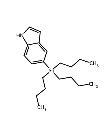 CCC[CH2][Sn]([CH2]CCC)([CH2]CCC)[c]1ccc2[nH]ccc2c1